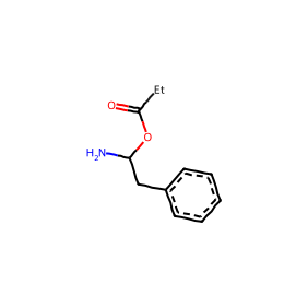 CCC(=O)OC(N)Cc1ccccc1